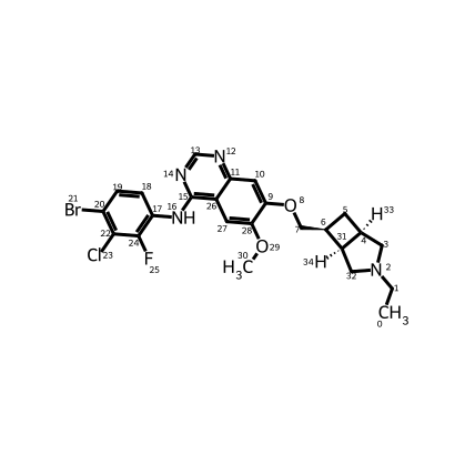 CCN1C[C@@H]2C[C@H](COc3cc4ncnc(Nc5ccc(Br)c(Cl)c5F)c4cc3OC)[C@@H]2C1